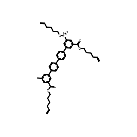 C=CCCCCOC(=O)c1cc(C)cc(-c2ccc(-c3ccc(-c4cc(C(=O)OCCCCC=C)cc([PH](=O)OCCCCC=C)c4)cc3)cc2)c1